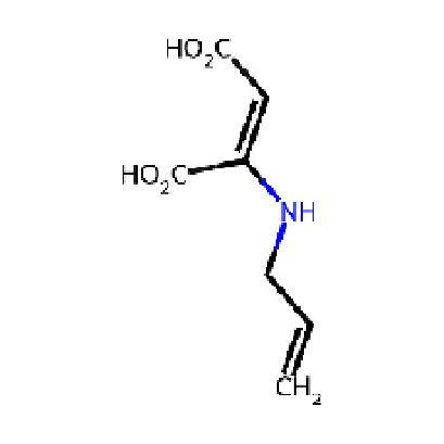 C=CCN/C(=C/C(=O)O)C(=O)O